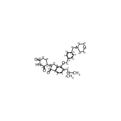 CN(C)Cc1ccc2c(c1OCc1ccc(CN3CCOCC3)cc1)CN(C1CCC(=O)NC1=O)C2=O